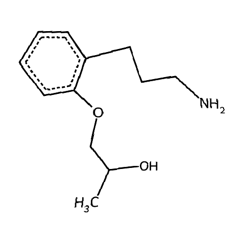 CC(O)COc1ccccc1CCCN